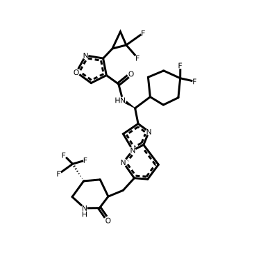 O=C(N[C@H](c1cn2nc(CC3C[C@@H](C(F)(F)F)CNC3=O)ccc2n1)C1CCC(F)(F)CC1)c1conc1C1CC1(F)F